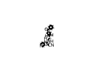 N#C/N=C(\NCC[C@@H]1[C@H]2CN(C(=O)c3ccccc3)C[C@@H]12)Nc1ccncc1